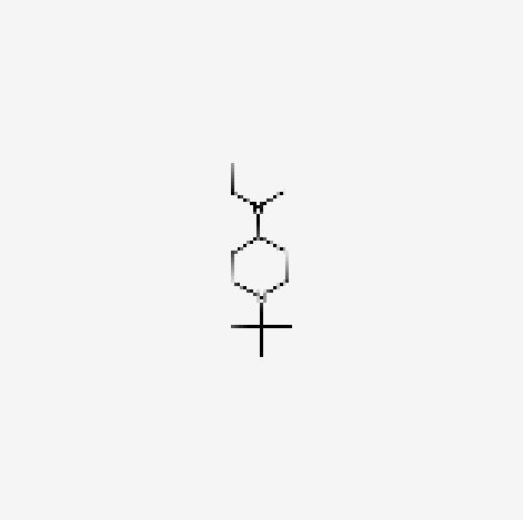 CCN(C)C1CCN(C(C)(C)C)CC1